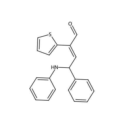 O=C/C(=C/C(Nc1ccccc1)c1ccccc1)c1cccs1